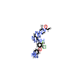 C=CC(=O)N1CCN(c2ncc3ncnc(Nc4ccc(Oc5ccn6ncnc6c5)c(Cl)c4F)c3n2)C[C@H]1C